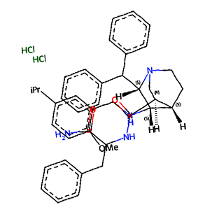 COc1ccc(C(C)C)cc1CN[C@H]1[C@H]2CCN(C[C@@H]2C(=O)NC(Cc2ccccc2)C(N)=O)[C@H]1C(c1ccccc1)c1ccccc1.Cl.Cl